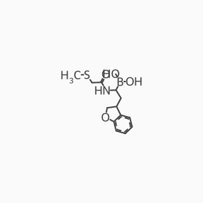 CSCC(=O)NC(CC1COc2ccccc21)B(O)O